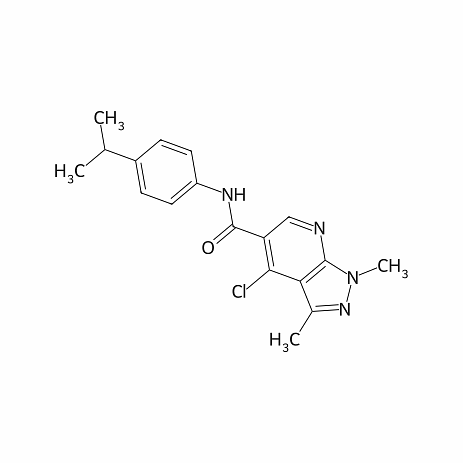 Cc1nn(C)c2ncc(C(=O)Nc3ccc(C(C)C)cc3)c(Cl)c12